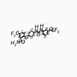 NC(=O)c1cc(C(F)(F)F)ccc1O[C@H]1CC[C@H](NC(=O)Nc2cccc(OC(F)(F)F)c2)CC1